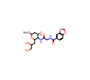 COC1CC(O)C(NC(=O)CNC(=O)c2ccc3c(c2)OCO3)C(CC(O)CO)O1